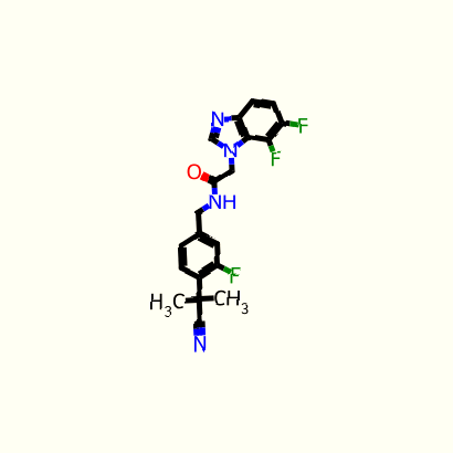 CC(C)(C#N)c1ccc(CNC(=O)Cn2cnc3ccc(F)c(F)c32)cc1F